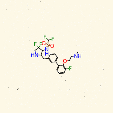 CNCCOc1c(F)cccc1-c1cccc(CC2NCC(F)(F)C2NS(=O)(=O)C(F)F)c1